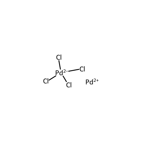 [Cl][Pd-2]([Cl])([Cl])[Cl].[Pd+2]